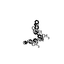 CCc1c(-c2cc(Nc3ccc(N4CCN(C5COC5)C[C@@H]4C)cn3)c(=O)n(C)c2)ccnc1N1CCn2c(cc3c2CCCC3)C1=O